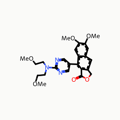 COCCN(CCOC)c1ncc(-c2c3c(cc4cc(OC)c(OC)cc24)COC3=O)cn1